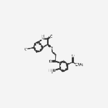 COC(=O)c1ccc(N)c(C(=O)CC/N=C2/C(=O)Nc3cc(Cl)ccc32)c1